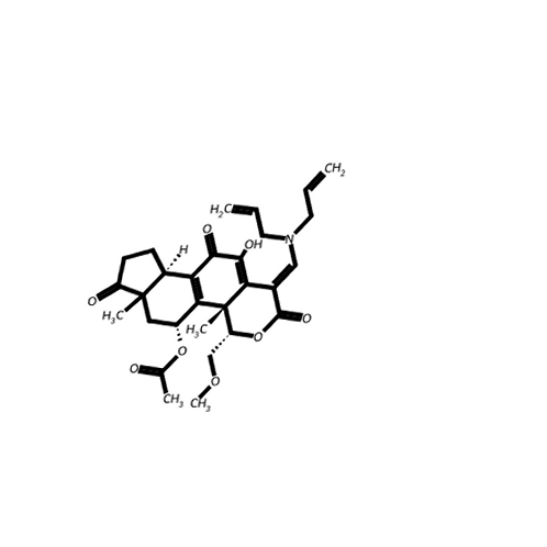 C=CCN(/C=C1/C(=O)O[C@H](COC)[C@@]2(C)C1=C(O)C(=O)C1=C2[C@H](OC(C)=O)CC2(C)C(=O)CC[C@@H]12)CC=C